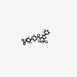 O=C(O)c1sc(-c2ccccc2)cc1NC(=O)N1CCN(c2ccc([N+](=O)[O-])cc2)CC1